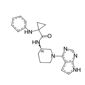 O=C(N[C@@H]1CCCN(c2ncnc3[nH]ccc23)C1)C1(Nc2ccccc2)CC1